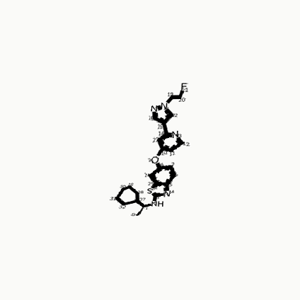 C[C@H](Nc1nc2ccc(Oc3ccnc(-c4cnn(CCF)c4)c3)cc2s1)C1CCCCC1